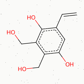 C=Cc1cc(O)c(CO)c(CO)c1O